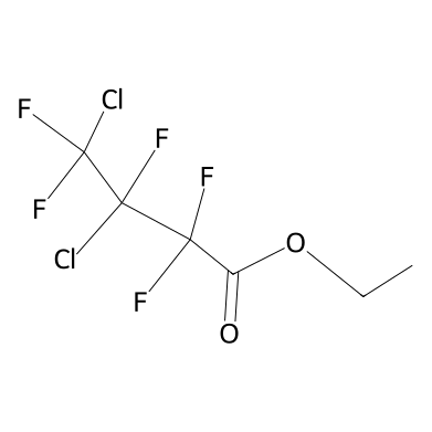 CCOC(=O)C(F)(F)C(F)(Cl)C(F)(F)Cl